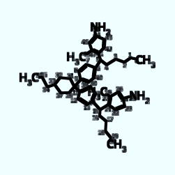 CCCCCC(c1ccc(C2(c3ccc(C(CCCCC)c4ccc(N)cc4C)cc3)CCC(CCC)CC2)cc1)c1ccc(N)cc1C